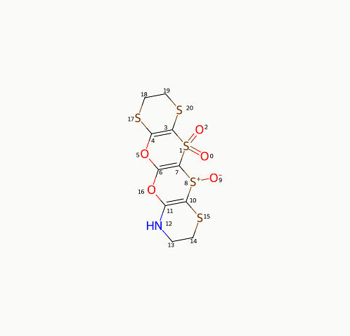 O=S1(=O)C2=C(OC3=C1[S+]([O-])C1=C(NCCS1)O3)SCCS2